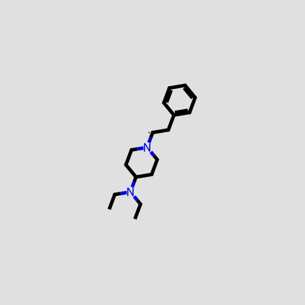 CCN(CC)C1CCN([CH]Cc2ccccc2)CC1